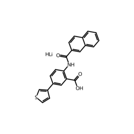 O=C(Nc1ccc(-c2ccsc2)cc1C(=O)O)c1ccc2ccccc2c1.[LiH]